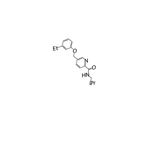 CCc1cccc(OCc2ccc(C(=O)NCC(C)C)nc2)c1